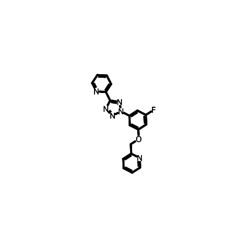 Fc1cc(OCc2ccccn2)cc(-n2nnc(-c3ccccn3)n2)c1